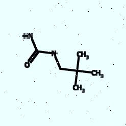 CC(C)(C)C[N]C([NH])=O